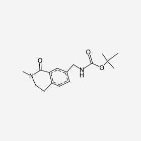 CN1CCc2ccc(CNC(=O)OC(C)(C)C)cc2C1=O